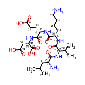 CC(C)C[C@H](N)C(=O)N[C@H](C(=O)N[C@@H](CCCCN)C(=O)N[C@@H](CCC(=O)O)C(=O)N[C@@H](CC(=O)O)C(=O)O)C(C)C